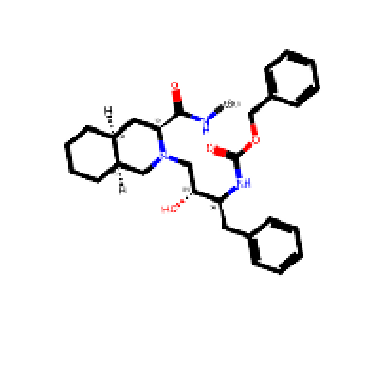 CC(C)(C)NC(=O)[C@@H]1C[C@@H]2CCCC[C@@H]2CN1C[C@@H](O)[C@H](Cc1ccccc1)NC(=O)OCc1ccccc1